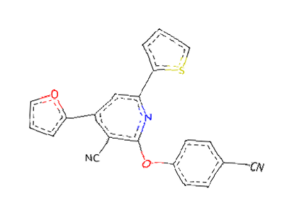 N#Cc1ccc(Oc2nc(-c3cccs3)cc(-c3ccco3)c2C#N)cc1